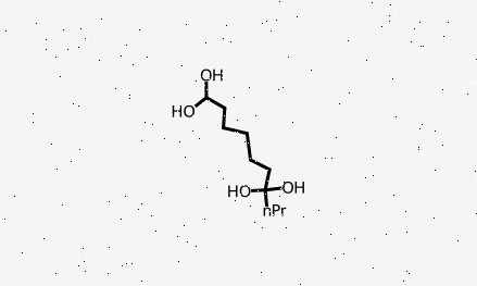 CCCC(O)(O)CCCCCC(O)O